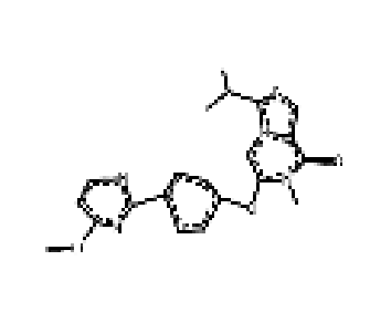 COc1ccnc(-c2ccc(Oc3cn4c(C(C)C)ncc4c(=O)n3C)cc2)n1